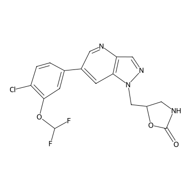 O=C1NCC(Cn2ncc3ncc(-c4ccc(Cl)c(OC(F)F)c4)cc32)O1